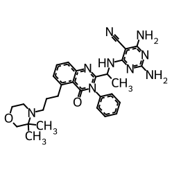 CC(Nc1nc(N)nc(N)c1C#N)c1nc2cccc(CCCN3CCOCC3(C)C)c2c(=O)n1-c1ccccc1